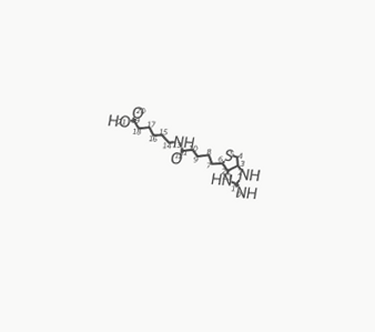 N=C1NC2CSC(CCCCC(=O)NCCCCCC(=O)O)C2N1